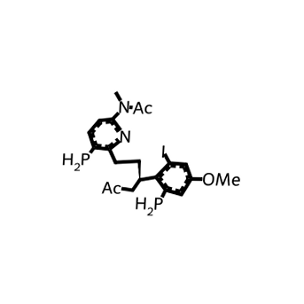 COc1cc(P)c([C@H](CCc2nc(N(C)C(C)=O)ccc2P)CC(C)=O)c(I)c1